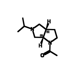 CC(=O)N1CC[C@H]2CN(C(C)C)C[C@H]21